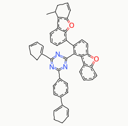 CC1CC=Cc2oc3c(-c4ccc5oc6ccccc6c5c4-c4nc(C5=CC=CCC5)nc(-c5ccc(C6=CCCC=C6)cc5)n4)cccc3c21